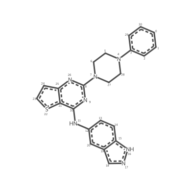 c1ccc(N2CCN(c3nc(Nc4ccc5[nH]ncc5c4)c4sccc4n3)CC2)cc1